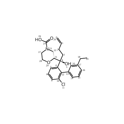 C=CCC[C@](O)(c1cccc(Cl)c1-c1cccc(CC)c1)[C@H]1CN(C(=O)O)CCO1